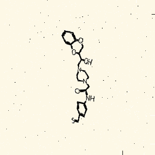 O=C(CN1CCN(CC(O)C2COc3ccccc3O2)CC1)Nc1ccc(C=S)cc1